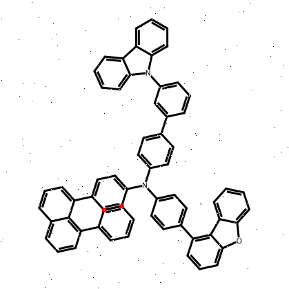 c1ccc(-c2cccc3cccc(-c4ccc(N(c5ccc(-c6cccc(-n7c8ccccc8c8ccccc87)c6)cc5)c5ccc(-c6cccc7oc8ccccc8c67)cc5)cc4)c23)cc1